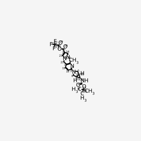 Cc1nc(N2C[C@@H]3[C@H](C2)[C@H]3NC(=O)OC(C)(C)C)ccc1Cn1cc(C(=O)OC(=O)C(F)(F)F)cn1